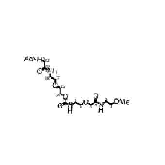 COCCNC(=O)COCCNC(=O)OCCOCCNC(=O)CNC(C)=O